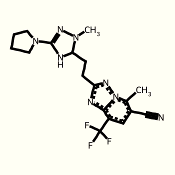 Cc1c(C#N)cc(C(F)(F)F)c2nc(CCC3NC(N4CCCC4)=NN3C)nn12